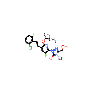 CCn1c(CO)nn(-c2nc(O[C@@H](C)C(F)(F)F)c(/C=C/c3c(F)cccc3Cl)cc2F)c1=O